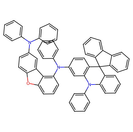 c1ccc(N(c2ccccc2)c2ccc3oc4cccc(N(c5ccccc5)c5ccc6c(c5)N(c5ccccc5)c5ccccc5C65c6ccccc6-c6ccccc65)c4c3c2)cc1